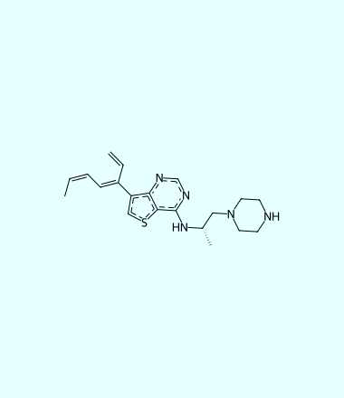 C=C/C(=C\C=C/C)c1csc2c(N[C@@H](C)CN3CCNCC3)ncnc12